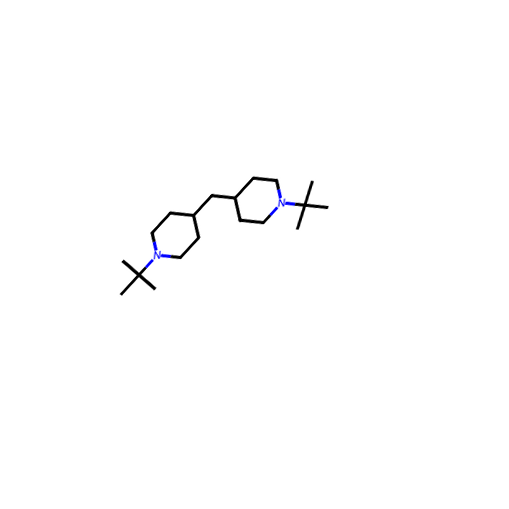 CC(C)(C)N1CCC(CC2CCN(C(C)(C)C)CC2)CC1